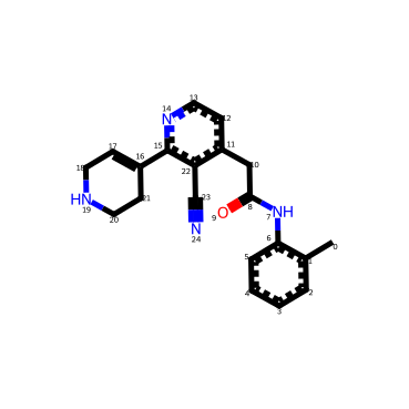 Cc1ccccc1NC(=O)Cc1ccnc(C2=CCNCC2)c1C#N